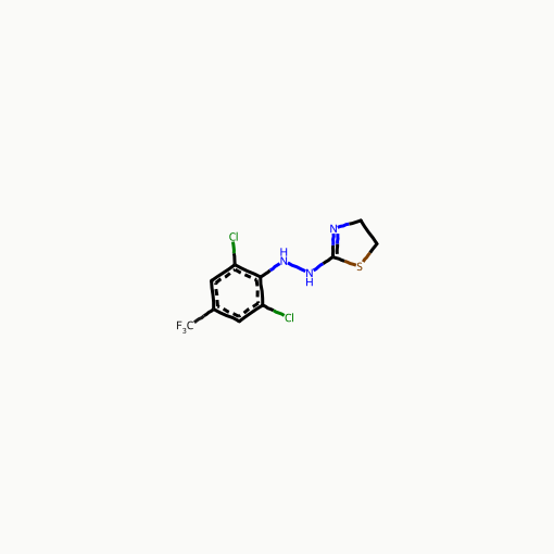 FC(F)(F)c1cc(Cl)c(NNC2=NCCS2)c(Cl)c1